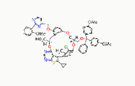 COc1ccc(C(OC[C@H]2COc3ccc(OCc4ccnc(-c5ccccc5OC)n4)c(c3)C[C@H](C(=O)O)Oc3ncnc4sc(C5CC5)c(c34)-c3ccc(c(Cl)c3C)O2)(c2ccccc2)c2ccc(OC)cc2)cc1